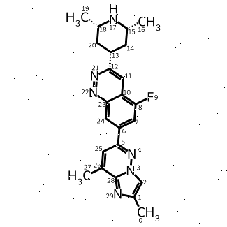 Cc1cn2nc(-c3cc(F)c4cc([C@H]5C[C@@H](C)N[C@@H](C)C5)nnc4c3)cc(C)c2n1